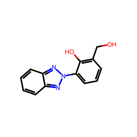 OCc1cccc(-n2nc3ccccc3n2)c1O